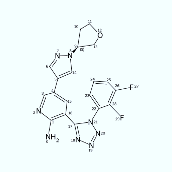 Nc1ncc(-c2cnn([C@H]3CCOC3)c2)cc1-c1nnnn1-c1cccc(F)c1F